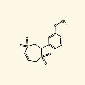 O=S1(=O)C=CCS(=O)(=O)C(c2cccc(OC(F)(F)F)c2)C1